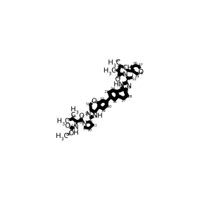 COC(=O)N[C@H](C(=O)N1CCC[C@H]1c1nc2c([nH]1)-c1ccc(-c3ccc4c(ccc5nc([C@@H]6C[C@@]7(CCCOC7)CN6C(=O)[C@@H](C)C(C)C)[nH]c54)c3)cc1OC2)C(C)C